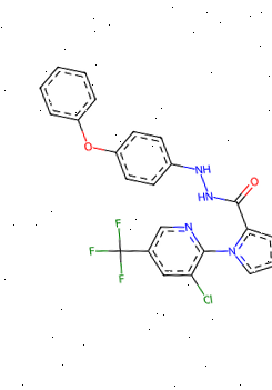 O=C(NNc1ccc(Oc2ccccc2)cc1)c1cccn1-c1ncc(C(F)(F)F)cc1Cl